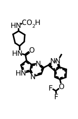 Cn1nc(-c2cnc3[nH]cc(C(=O)NC4CCC(NC(=O)O)CC4)c3n2)c2cc(OC(F)F)ccc21